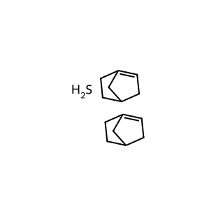 C1=C2CCC(C1)C2.C1=C2CCC(C1)C2.S